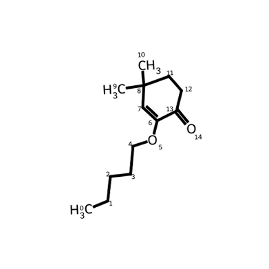 CCCCCOC1=CC(C)(C)CCC1=O